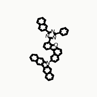 c1ccc(-c2nc(-c3ccc4ccccc4c3)nc(-c3cccc4c3oc3ccc5ccc(-n6c7cc8ccccc8cc7c7cc8ccccc8cc76)cc5c34)n2)cc1